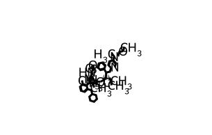 COCCN(C)c1ccc(CC2c3cccc(c3)S(=O)(=O)Nc3nc(c(C)c(-c4c(C)cccc4CC4CCCCC4)n3)OC[C@H]2CC(C)(C)C)nc1